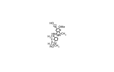 COc1nc2c(C)nnc(N[C@H](C)c3cccc(C(F)(F)C(C)(C)O)c3F)c2cc1N1CC(O)C1